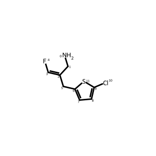 NC/C(=C\F)Cc1ccc(Cl)s1